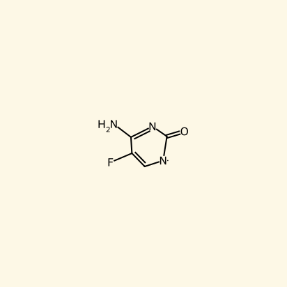 NC1=NC(=O)[N]C=C1F